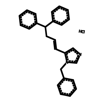 C(=C\c1cncn1Cc1ccccc1)/CC(c1ccccc1)c1ccccc1.Cl